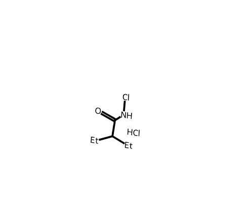 CCC(CC)C(=O)NCl.Cl